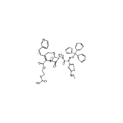 CCCC(=O)OCCOC(=O)C1=C(/C=C\c2cccnc2)CS[C@H]2[C@H](NC(=O)C(=NOC(c3ccccc3)(c3ccccc3)c3ccccc3)c3csc(N)n3)C(=O)N12